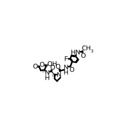 CC(=O)Nc1ccc(C(=O)NCC(=O)N2CCC[C@H]2C(=O)N[C@H]2CC(=O)O[C@H]2O)c(F)c1